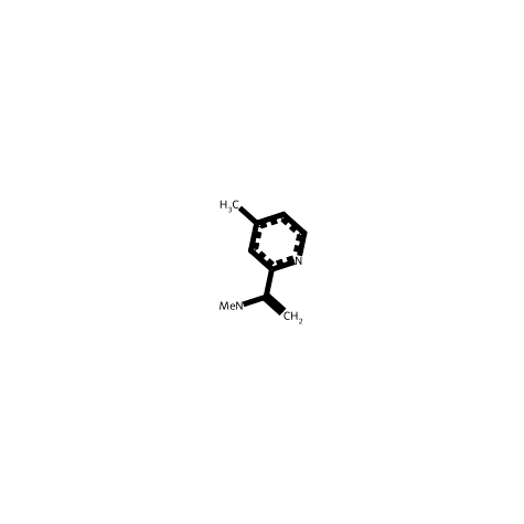 C=C(NC)c1cc(C)ccn1